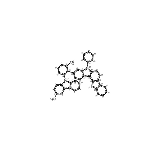 N#Cc1ccc2c(c1)c1ccccc1n2-c1cccc(C#N)c1-c1ccc2c3c4sc5ccccc5c4ccc3n(-c3ccccc3)c2c1